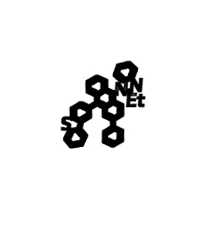 CCc1nc2ccccc2n1-c1c2ccccc2c(-c2ccc3sc4ccccc4c3c2)c2cc(-c3ccccc3)ccc12